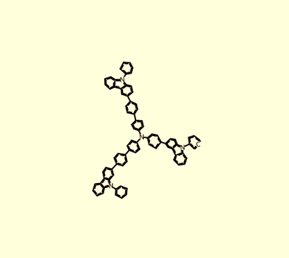 c1ccc(-n2c3ccccc3c3cc(-c4ccc(-c5ccc(N(c6ccc(-c7ccc(-c8ccc9c%10ccccc%10n(-c%10ccccc%10)c9c8)cc7)cc6)c6ccc(-c7ccc8c(c7)c7ccccc7n8-c7ccccc7)cc6)cc5)cc4)ccc32)cc1